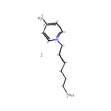 CCCCCCCCCCCCCC[n+]1ccc(C)cc1.[I-]